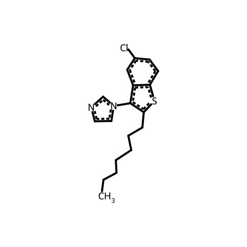 CCCCCCCc1sc2ccc(Cl)cc2c1-n1ccnc1